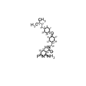 CC(C)CCc1ccc(Oc2ccc(CNC(=O)c3ccc(F)nc3N)cc2)cc1